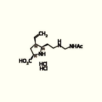 C=C[C@@H]1C[C@H](C(=O)O)N[C@@H]1CCNCNC(C)=O.Cl.Cl